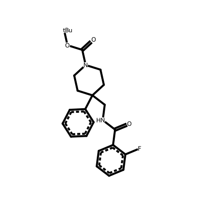 CC(C)(C)OC(=O)N1CCC(CNC(=O)c2ccccc2F)(c2ccccc2)CC1